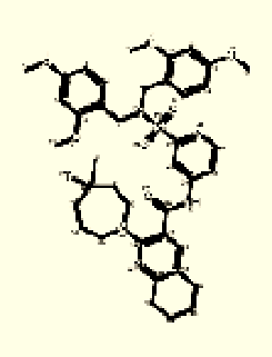 COc1ccc(CN(Cc2ccc(OC)cc2OC)S(=O)(=O)c2cc(NC(=O)c3cc4c(nc3N3CCCC(F)(F)CC3)CCCC4)ccn2)c(OC)c1